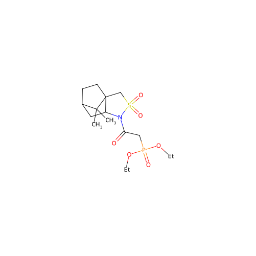 CCOP(=O)(CC(=O)N1C2CC3CCC2(CS1(=O)=O)C3(C)C)OCC